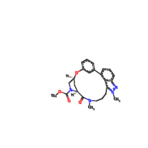 CN1CCCc2c3c(cccc3nn2C)-c2cccc(c2)O[C@H]2C[C@@H](C1=O)N(C(=O)OC(C)(C)C)C2